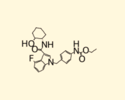 CCOC(=O)Nc1ccc(Cn2cc(C(=O)N[C@H]3CCCC[C@@H]3O)c3c(F)cccc32)cc1